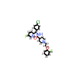 O=C(N[C@@H](c1ccc(Cl)cc1)c1ccc(F)cn1)C1CCN(CCOc2ccccc2F)CC1